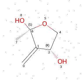 C=C1[C@@H](O)CO[C@]1(C)O